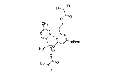 C=C(C)c1ccc(C)cc1-c1c(OCOC(=O)C(CC)CC)cc(CCCCC)cc1OCOC(=O)C(CC)CC